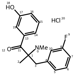 CNC(C)(Cc1cccc(F)c1)C(=O)c1cccc(O)c1.Cl